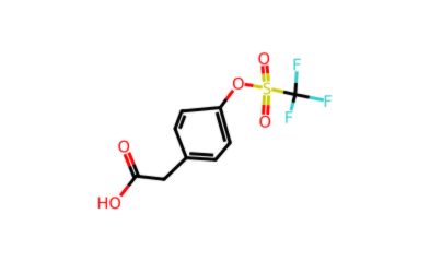 O=C(O)Cc1ccc(OS(=O)(=O)C(F)(F)F)cc1